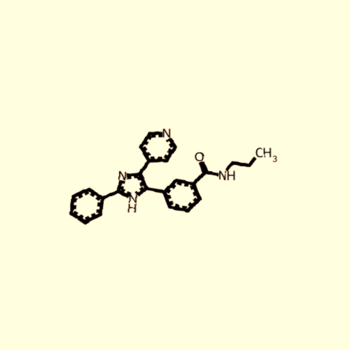 CCCNC(=O)c1cccc(-c2[nH]c(-c3ccccc3)nc2-c2ccncc2)c1